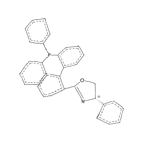 c1ccc([C@H]2COC(c3ccccc3-c3ccccc3P(c3ccccc3)c3ccccc3)=N2)cc1